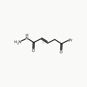 CC(C)C(=O)C/C=C/C(=O)NN